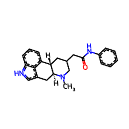 CN1CC(CC(=O)Nc2ccccc2)C[C@H]2c3cccc4[nH]cc(c34)C[C@@H]21